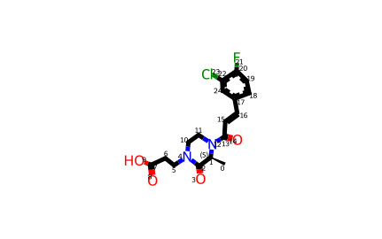 C[C@H]1C(=O)N(CCC(=O)O)CCN1C(=O)C=Cc1ccc(F)c(Cl)c1